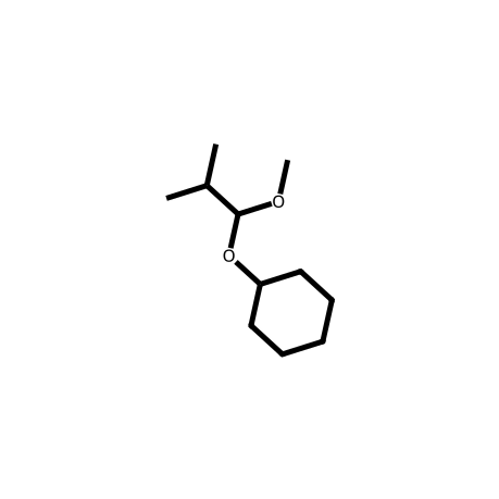 COC(OC1CCCCC1)C(C)C